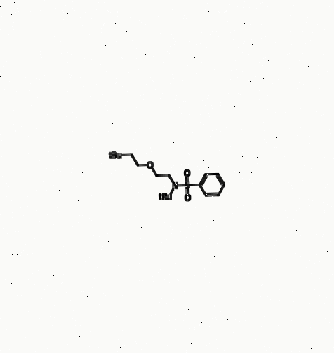 CC(C)(C)CCOCCN(C(C)(C)C)S(=O)(=O)c1ccccc1